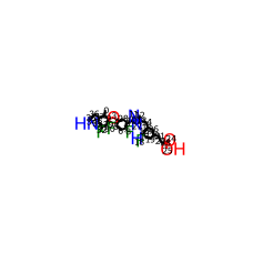 Cc1c(Oc2ccc(F)c(-c3ncc(Cc4cc(F)cc(CCC(=O)O)c4)[nH]3)c2)c(F)c(F)c2[nH]ccc12